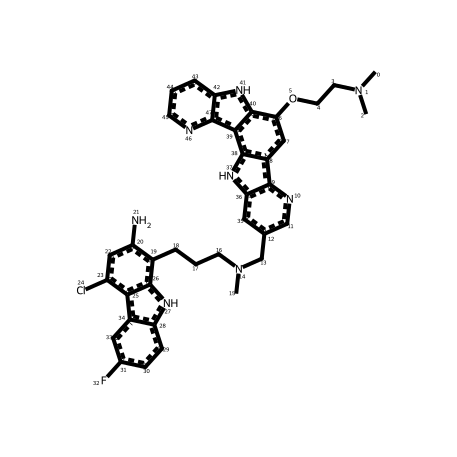 CN(C)CCOc1cc2c3ncc(CN(C)CCCc4c(N)cc(Cl)c5c4[nH]c4ccc(F)cc45)cc3[nH]c2c2c1[nH]c1cccnc12